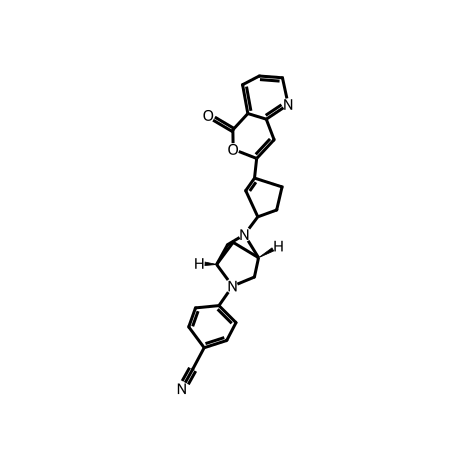 N#Cc1ccc(N2C[C@@H]3C[C@H]2CN3C2C=C(c3cc4ncccc4c(=O)o3)CC2)cc1